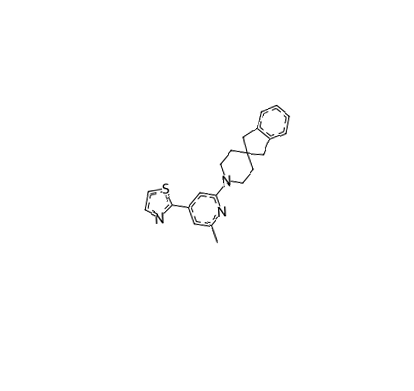 Cc1cc(-c2nccs2)cc(N2CCC3(CC2)Cc2ccccc2C3)n1